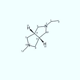 CCN1C[C@H]2CN(C)C[C@H]2C1